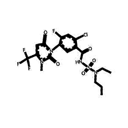 CCCN(CC)S(=O)(=O)NC(=O)c1cc(-n2c(=O)cc(C(F)(F)F)n(C)c2=O)c(F)cc1Cl